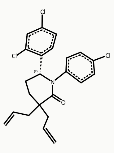 C=CCC1(CC=C)CC[C@H](c2ccc(Cl)cc2Cl)N(c2ccc(Cl)cc2)C1=O